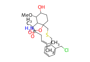 COC1C(O)CCC(CSCc2ccccc2CCl)(OC(N)=O)C1C1(C)OC1CC=C(C)C